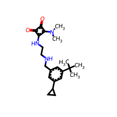 CN(C)c1c(NCCNCc2cc(C3CC3)cc(C(C)(C)C)c2)c(=O)c1=O